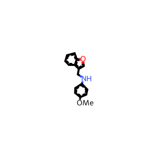 COc1ccc(NCc2coc3ccccc23)cc1